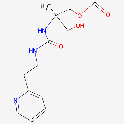 CC(CO)(COC=O)NC(=O)NCCc1ccccn1